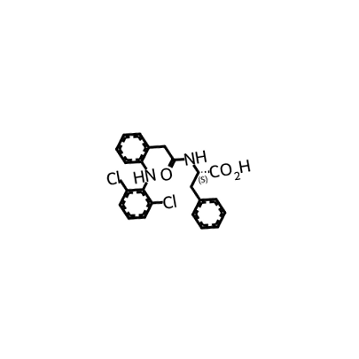 O=C(Cc1ccccc1Nc1c(Cl)cccc1Cl)N[C@@H](Cc1ccccc1)C(=O)O